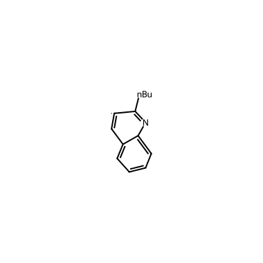 CCCCc1[c]cc2ccccc2n1